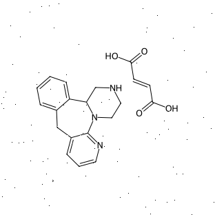 O=C(O)C=CC(=O)O.c1ccc2c(c1)Cc1cccnc1N1CCNCC21